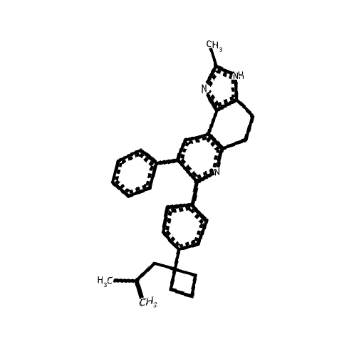 C[C](C)CC1(c2ccc(-c3nc4c(cc3-c3ccccc3)-c3nc(C)[nH]c3CC4)cc2)CCC1